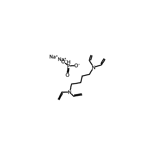 C=CN(C=C)CCCCN(C=C)C=C.O=[PH]([O-])[O-].[Na+].[Na+]